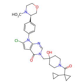 O=C(O)N1CCOC[C@H]1c1ccc(-n2c(Cl)cc3c(=O)n(CC4(O)CCN(C(=O)C5(C6CC6)CC5)CC4)cnc32)cc1